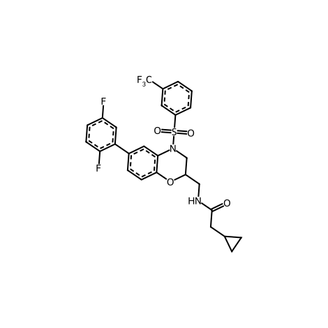 O=C(CC1CC1)NCC1CN(S(=O)(=O)c2cccc(C(F)(F)F)c2)c2cc(-c3cc(F)ccc3F)ccc2O1